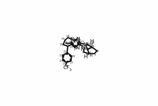 Cc1cc(N2C[C@H]3CC[C@@H](C2)[C@@H]3Nc2nc3n(n2)CCCC3c2ccc(C(F)(F)F)cc2)sn1